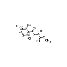 COC(=O)C(O)=CC(=O)c1c(Cl)ccc(C)c1F